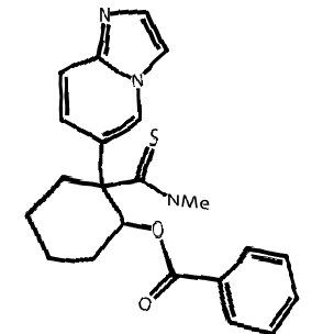 CNC(=S)C1(c2ccc3nccn3c2)CCCCC1OC(=O)c1ccccc1